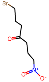 O=C(CCCBr)CCC[N+](=O)[O-]